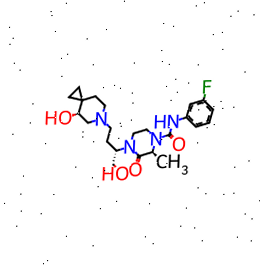 C[C@H]1C(=O)N([C@H](CO)CCN2CCC3(CC3)[C@H](O)C2)CCN1C(=O)Nc1cccc(F)c1